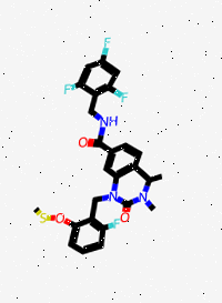 CSOc1cccc(F)c1CN1C(=O)N(C)C(C)c2ccc(C(=O)NCc3c(F)cc(F)cc3F)cc21